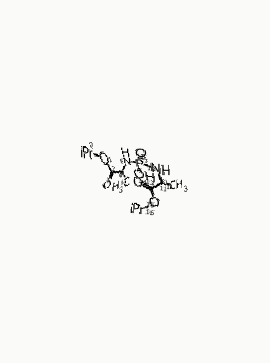 CC(C)OC(=O)[C@H](C)NP(=O)(O)N[C@@H](C)C(=O)OC(C)C